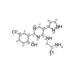 CCC(N)CNc1nc(-c2cc(Cl)ccc2O)ncc1-c1cc[nH]n1